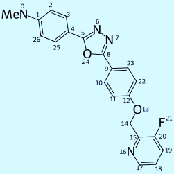 CNc1ccc(-c2nnc(-c3ccc(OCc4ncccc4F)cc3)o2)cc1